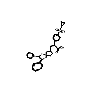 O=C(O)C(CC1CCC2(C1)OC(c1ccccc1)[C@@H](c1ccccc1)O2)c1ccc(S(=O)(=O)C2CC2)cc1